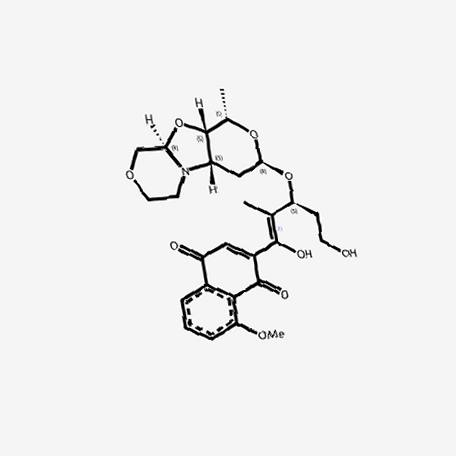 COc1cccc2c1C(=O)C(/C(O)=C(\C)[C@H](CCO)O[C@H]1C[C@H]3[C@H](O[C@@H]4COCCN43)[C@H](C)O1)=CC2=O